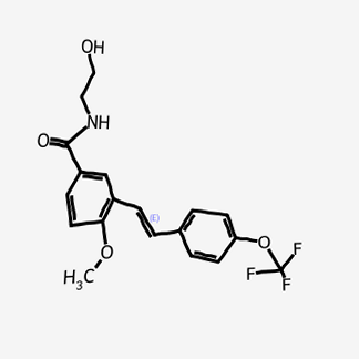 COc1ccc(C(=O)NCCO)cc1/C=C/c1ccc(OC(F)(F)F)cc1